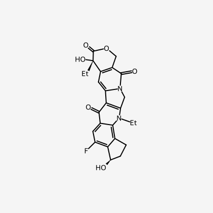 CCn1c2c(c(=O)c3cc(F)c4c(c31)CC[C@H]4O)-c1cc3c(c(=O)n1C2)COC(=O)[C@]3(O)CC